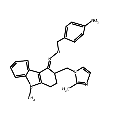 Cc1nccn1CC1CCc2c(c3ccccc3n2C)C1=NOCc1ccc([N+](=O)[O-])cc1